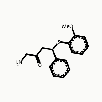 COc1ccccc1SC(CC(=O)CN)c1ccccc1